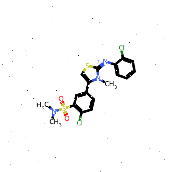 CN(C)S(=O)(=O)c1cc(-c2cs/c(=N/c3ccccc3Cl)n2C)ccc1Cl